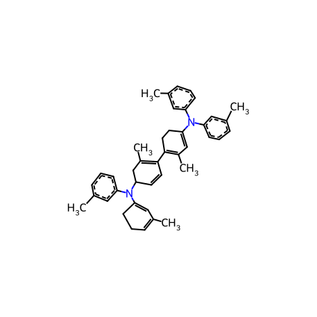 CC1=CCCC(N(c2cccc(C)c2)C2C=CC(C3=C(C)C=C(N(c4cccc(C)c4)c4cccc(C)c4)CC3)=C(C)C2)=C1